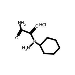 Cl.NC(=O)C(=O)N(N)C1CCCCC1